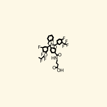 CC(F)C(F)(F)Oc1cc(F)cc([C@](Cc2ccccc2)(NC(=O)c2ccc(F)c(C(F)(F)F)c2)c2ccc(C(=O)NCCCC(=O)O)cc2)c1